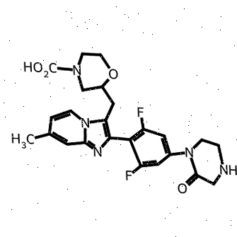 Cc1ccn2c(CC3CN(C(=O)O)CCO3)c(-c3c(F)cc(N4CCNCC4=O)cc3F)nc2c1